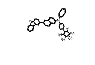 [2H]c1c([2H])c([2H])c(-c2ccc(N(c3ccccc3)c3ccc4cc(-c5ccc6oc7ccccc7c6c5)ccc4c3)cc2)c([2H])c1[2H]